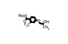 COC(=O)c1ccc(OC[C@H](C)O)cc1C(F)(F)F